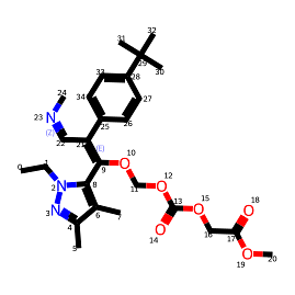 CCn1nc(C)c(C)c1/C(OCOC(=O)OCC(=O)OC)=C(\C=N/C)c1ccc(C(C)(C)C)cc1